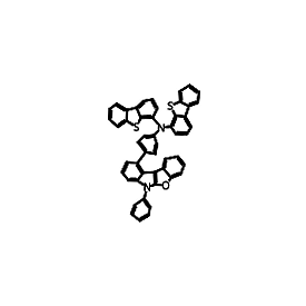 c1ccc(-n2c3cccc(-c4ccc(N(c5cccc6c5sc5ccccc56)c5cccc6c5sc5ccccc56)cc4)c3c3c4ccccc4oc32)cc1